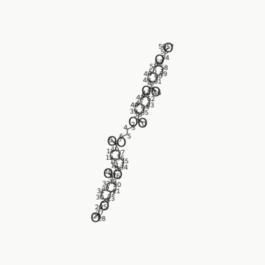 O=C(OCCCCOC(=O)c1ccc2cc(OC(=O)c3ccc4cc(OCC5CO5)ccc4c3)ccc2c1)c1ccc2cc(OC(=O)c3ccc4cc(OCC5CO5)ccc4c3)ccc2c1